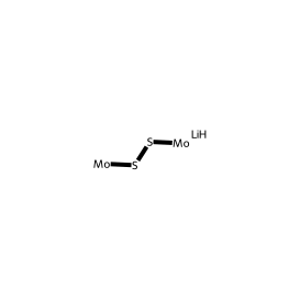 [LiH].[Mo][S][S][Mo]